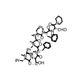 CC(C)C[C@@H](C(=O)N[C@H](C(=O)N(C)[C@@H](Cc1ccccc1)C(=O)N(C)[C@@H](C)C(=O)N(C)[C@@H](CC(C)C)C(=O)N(C)[C@@H](Cc1ccccc1)C(=O)N[C@@H](C=O)C(=O)N1CCCCC1)[C@@H](C)O)N(C)C(=O)C(C)C